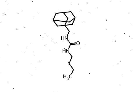 CCCCNC(=O)NCC12CC3CC(CC(C3)C1)C2